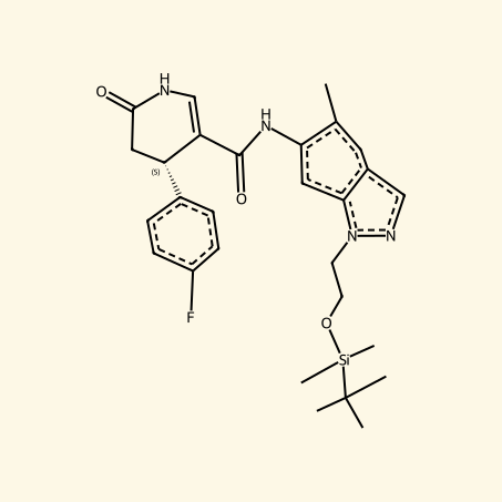 Cc1cc2cnn(CCO[Si](C)(C)C(C)(C)C)c2cc1NC(=O)C1=CNC(=O)C[C@H]1c1ccc(F)cc1